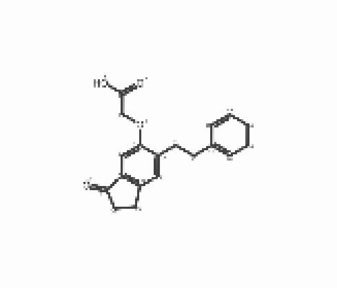 O=C(O)COc1cc2c(cc1CCC1=CCCC=C1)CCC2=O